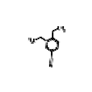 CCc1[c]cc(C#N)cc1CC